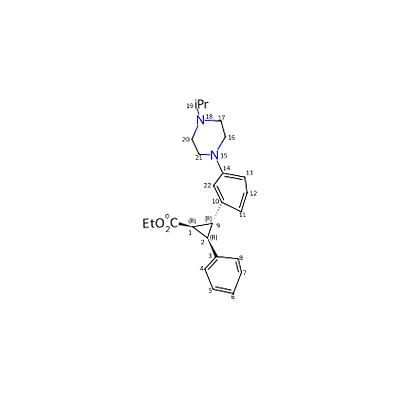 CCOC(=O)[C@@H]1[C@H](c2ccccc2)[C@H]1c1cccc(N2CCN(C(C)C)CC2)c1